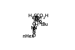 CCCCCCOC1CN(c2cnc(-c3ccc(C[C@H](NC(=O)c4ccc(C(C)(C)C)s4)C(=O)N[C@H](C)C(=O)O)cc3)nc2)C1